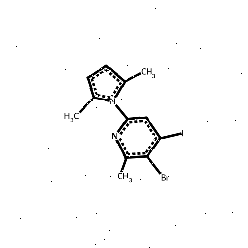 Cc1nc(-n2c(C)ccc2C)cc(I)c1Br